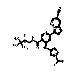 CC(C)(O)[C@H](F)CNC(=O)c1cnc(-c2ccc3cc(C#N)cnn23)cc1Nc1cnn(C(F)F)c1